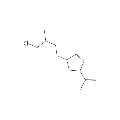 C=C(C)C1CCC(CCC(C)CCl)C1